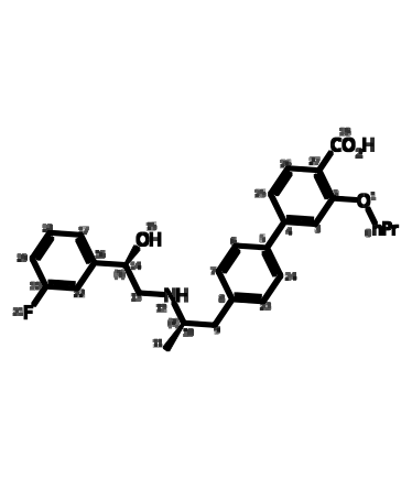 CCCOc1cc(-c2ccc(C[C@@H](C)NC[C@H](O)c3cccc(F)c3)cc2)ccc1C(=O)O